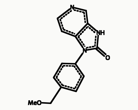 COCc1ccc(-n2c(=O)[nH]c3cnccc32)cc1